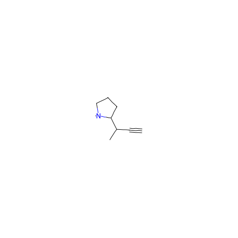 C#CC(C)C1CCC[N]1